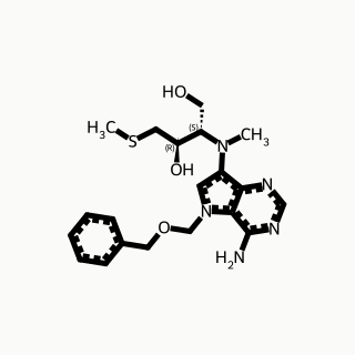 CSC[C@H](O)[C@H](CO)N(C)c1cn(COCc2ccccc2)c2c(N)ncnc12